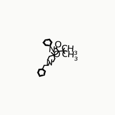 CC(C)C1OC2(CCN(CCc3ccccc3)CC2)CN(c2ccccc2)C1=O